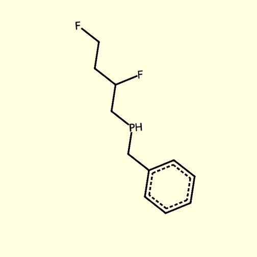 FCCC(F)CPCc1ccccc1